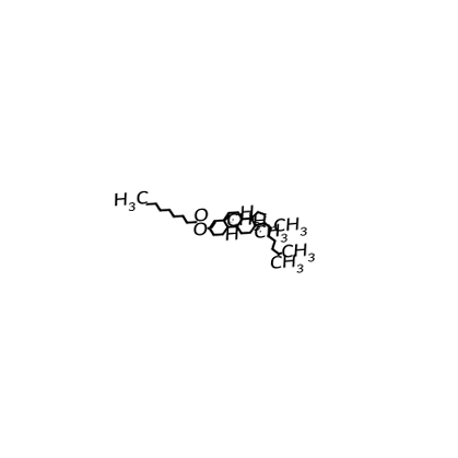 CCCCCCCCC(=O)OC1=CC2=CC[C@H]3[C@@H]4CC[C@H]([C@H](C)CCCC(C)C)[C@@]4(C)CC[C@@H]3[C@@]2(C)CC1